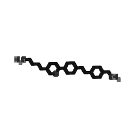 CCCCCC1CCC(C2CCC(CCC3CCC(CC)CC3)CC2)OC1